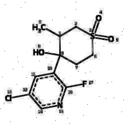 CC1CS(=O)(=O)CCC1(O)c1cc(Cl)cnc1F